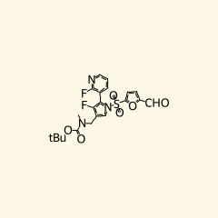 CN(Cc1cn(S(=O)(=O)c2ccc(C=O)o2)c(-c2cccnc2F)c1F)C(=O)OC(C)(C)C